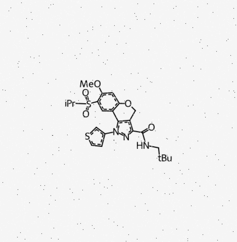 COc1cc2c(cc1S(=O)(=O)C(C)C)-c1c(c(C(=O)NCC(C)(C)C)nn1-c1ccsc1)CO2